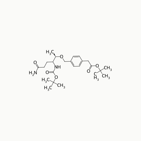 C[C@@H](OCc1ccc(CC(=O)OC(C)(C)C)cc1)C(CCC(N)=O)NC(=O)OC(C)(C)C